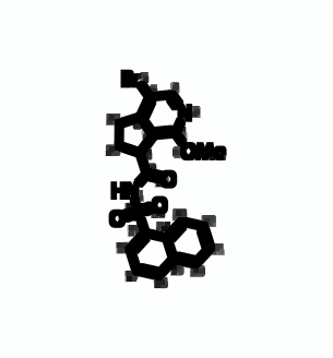 COc1ncc(Br)c2c1C(C(=O)NS(=O)(=O)c1cccc3ccccc13)CC2